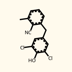 Cc1cccc(Cc2cc(Cl)c(O)c(Cl)c2)c1C#N